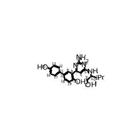 CC(C)C(CO)Nc1cc(-c2cc(-c3ccc(O)cc3)ccc2O)nc(N)n1